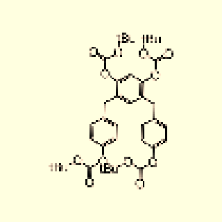 CC(C)(C)OC(=O)Oc1ccc(Cc2cc(Cc3ccc(OC(=O)OC(C)(C)C)cc3)c(OC(=O)OC(C)(C)C)cc2OC(=O)OC(C)(C)C)cc1